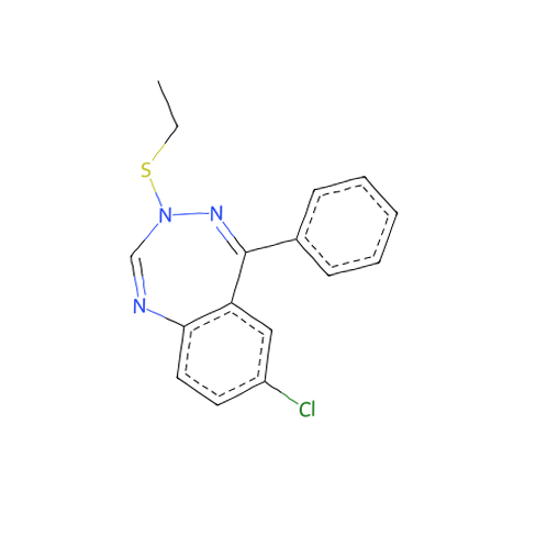 CCSN1C=Nc2ccc(Cl)cc2C(c2ccccc2)=N1